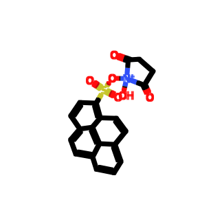 O=C1CCC(=O)[N+]1(O)OS(=O)(=O)c1ccc2ccc3cccc4ccc1c2c34